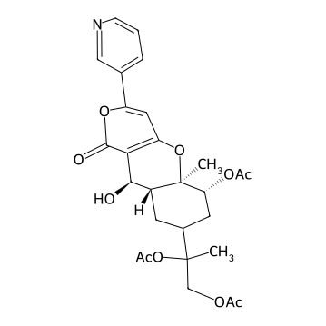 CC(=O)OCC(C)(OC(C)=O)C1C[C@@H]2[C@@H](O)c3c(cc(-c4cccnc4)oc3=O)O[C@@]2(C)[C@H](OC(C)=O)C1